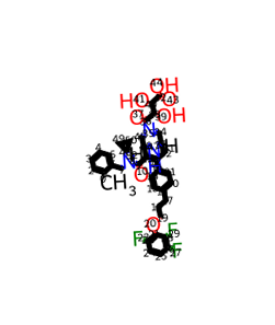 Cc1ccccc1CN(C(=O)C1=C(c2ccc(CCCOc3c(F)ccc(F)c3F)cc2)C[C@@H]2CN(C(=O)[C@H](O)[C@H](O)C(=O)O)C[C@H]1N2)C1CC1